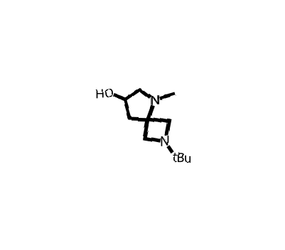 CN1CC(O)CC12CN(C(C)(C)C)C2